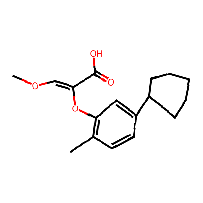 CO/C=C(\Oc1cc(C2CCCCC2)ccc1C)C(=O)O